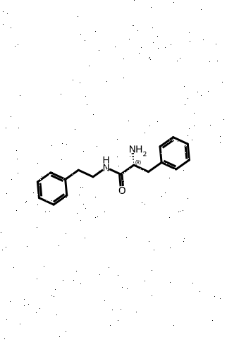 N[C@H](Cc1ccccc1)C(=O)NCCc1ccccc1